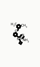 Cc1cc(C)cc(COc2cccc(-c3nc(C4CCC4)n4c(N)cncc34)c2)c1